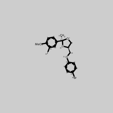 COc1ccc([C@@]2(C)OC[C@@H](COc3ccc(Br)cc3)O2)cc1I